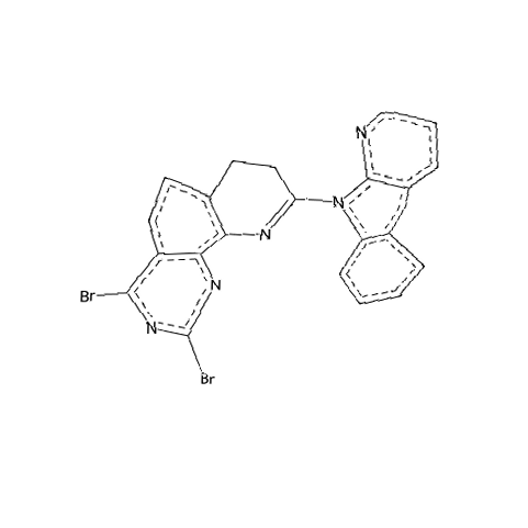 Brc1nc(Br)c2ccc3c(c2n1)N=C(n1c2ccccc2c2cccnc21)CC3